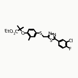 CCOC(=O)C(C)(C)Oc1ccc(SCc2nnc(-c3ccc(F)c(Cl)c3)s2)cc1C